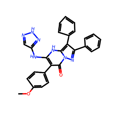 COc1ccc(-c2c(Nc3cn[nH]n3)[nH]c3c(-c4ccccc4)c(-c4ccccc4)nn3c2=O)cc1